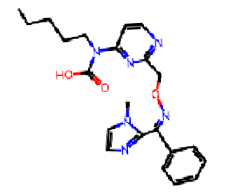 CCCCCN(C(=O)O)c1ccnc(CO/N=C(/c2ccccc2)c2nccn2C)n1